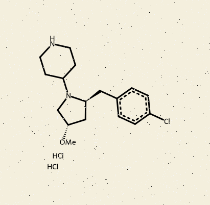 CO[C@H]1C[C@H](Cc2ccc(Cl)cc2)N(C2CCNCC2)C1.Cl.Cl